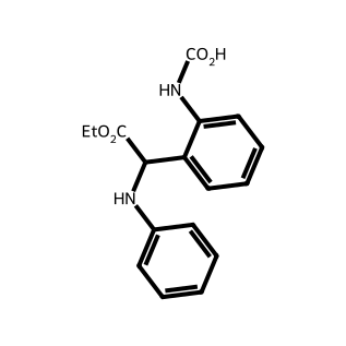 CCOC(=O)C(Nc1ccccc1)c1ccccc1NC(=O)O